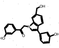 O=C(Cn1cc(-c2cccc(O)c2)c2ccc(CO)cc21)c1cccc(O)c1